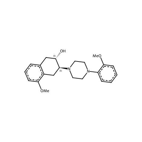 COc1ccccc1N1CCN([C@H]2Cc3c(cccc3OC)C[C@@H]2O)CC1